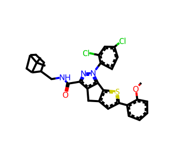 COc1ccccc1-c1cc2c(s1)-c1c(c(C(=O)NCC3CCC4CC3C4(C)C)nn1-c1ccc(Cl)cc1Cl)C2